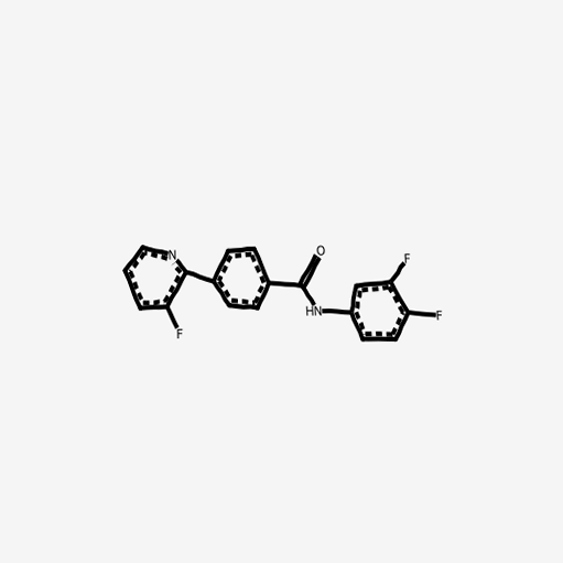 O=C(Nc1ccc(F)c(F)c1)c1ccc(-c2ncccc2F)cc1